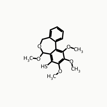 COc1c(S)c2c(c(OC)c1OC)-c1ccccc1COC2OC